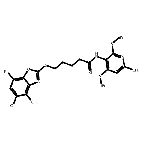 Cc1cc(SC(C)C)c(NC(=O)CCCCSc2nc3c(C)c(Cl)cc(C(C)C)c3o2)c(SC(C)C)n1